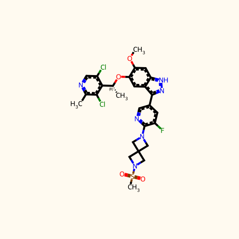 COc1cc2[nH]nc(-c3cnc(N4CC5(C4)CN(S(C)(=O)=O)C5)c(F)c3)c2cc1O[C@H](C)c1c(Cl)cnc(C)c1Cl